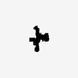 N#CC[C@H]1CN(c2nc(OCCOC3CC3)nc3c2CCN(c2cncc4cccc(F)c24)C3)CCN1C(=O)/C=C/CN1CCCC1